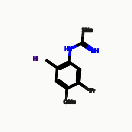 COc1cc(C)c(NC(=N)SC)cc1C(C)C.I